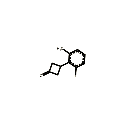 Cc1cccc(F)c1C1CC(=O)C1